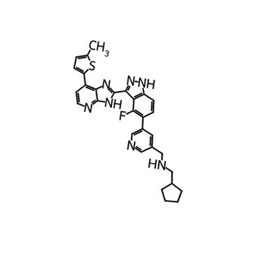 Cc1ccc(-c2ccnc3[nH]c(-c4n[nH]c5ccc(-c6cncc(CNCC7CCCC7)c6)c(F)c45)nc23)s1